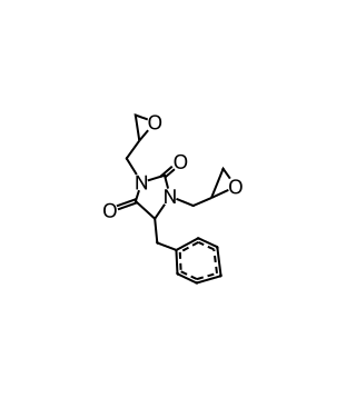 O=C1C(Cc2ccccc2)N(CC2CO2)C(=O)N1CC1CO1